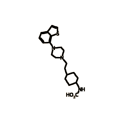 O=C(O)NC1CCC(CCN2CCN(c3cccc4ccsc34)CC2)CC1